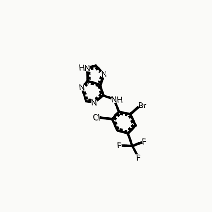 FC(F)(F)c1cc(Cl)c(Nc2ncnc3[nH]cnc23)c(Br)c1